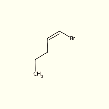 CCC/C=C\Br